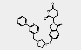 O=C1CCC(N2Cc3cc(O[C@H]4CCN(Cc5ccnc(-c6ccccc6)c5)C4)ccc3C2=O)C(=O)N1